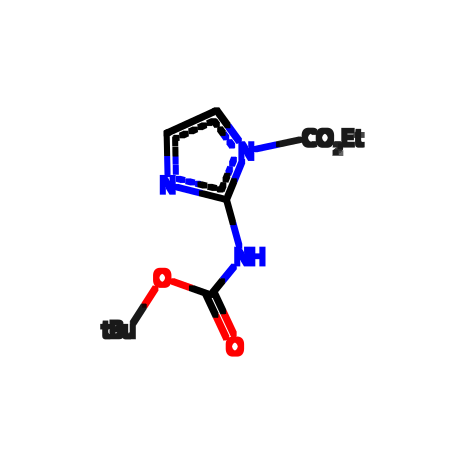 CCOC(=O)n1ccnc1NC(=O)OC(C)(C)C